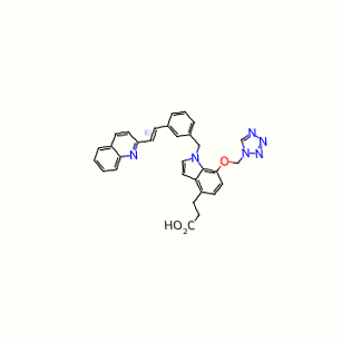 O=C(O)CCc1ccc(OCn2cnnn2)c2c1ccn2Cc1cccc(/C=C/c2ccc3ccccc3n2)c1